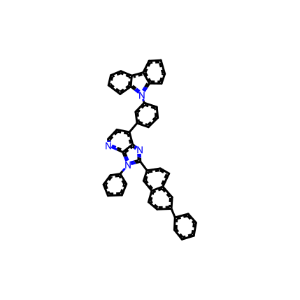 c1ccc(-c2ccc3cc(-c4nc5c(-c6cccc(-n7c8ccccc8c8ccccc87)c6)ccnc5n4-c4ccccc4)ccc3c2)cc1